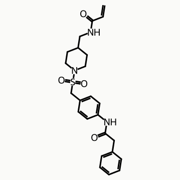 C=CC(=O)NCC1CCN(S(=O)(=O)Cc2ccc(NC(=O)Cc3ccccc3)cc2)CC1